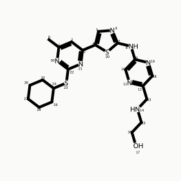 Cc1cc(-c2cnc(Nc3cnc(CNCCO)cn3)s2)nc(SC2CCCCC2)n1